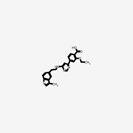 CCOc1cc(-c2cc(NCCc3ccc4scc(C)c4c3)ncn2)ccc1C(=O)O